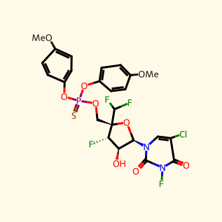 COc1ccc(OP(=S)(OC[C@@]2(C(F)F)O[C@@H](n3cc(Cl)c(=O)n(F)c3=O)[C@@H](O)[C@@H]2F)Oc2ccc(OC)cc2)cc1